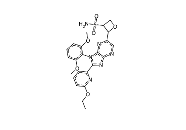 CCOc1cccc(-c2nc3ncc(C4OCC4S(N)(=O)=O)nc3n2-c2c(OC)cccc2OC)n1